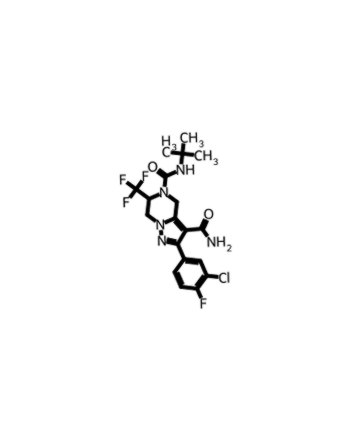 CC(C)(C)NC(=O)N1Cc2c(C(N)=O)c(-c3ccc(F)c(Cl)c3)nn2CC1C(F)(F)F